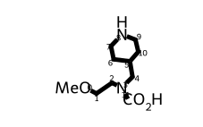 COCCN(CC1CCNCC1)C(=O)O